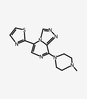 CN1CCN(c2ncc(-c3nccs3)n3cnnc23)CC1